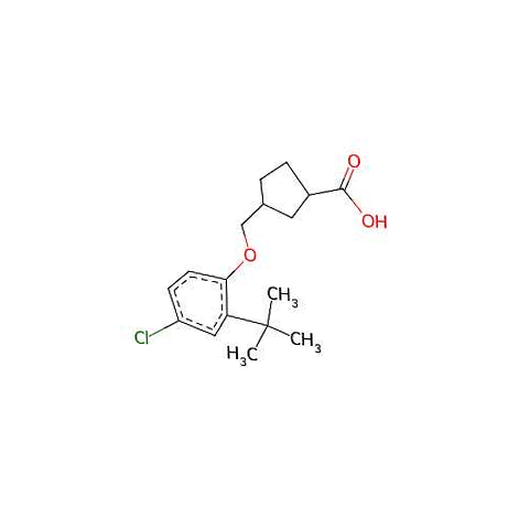 CC(C)(C)c1cc(Cl)ccc1OCC1CCC(C(=O)O)C1